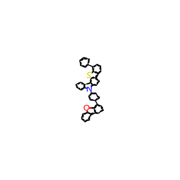 c1ccc(-c2cccc3c2sc2c3ccc3c2c2ccccc2n3-c2ccc(-c3cccc4c3oc3ccccc34)cc2)cc1